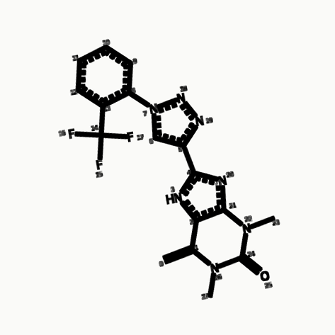 C=C1c2[nH]c(-c3cn(-c4ccccc4C(F)(F)F)nn3)nc2N(C)C(=O)N1C